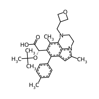 Cc1ccc(-c2c([C@H](OC(C)(C)C)C(=O)O)c(C)c3c4c2cc(C)n4CCN3CC2COC2)cc1